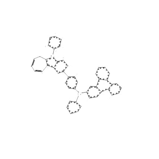 C1=CCc2c(c3cc(-c4ccc(N(c5ccccc5)c5ccc6c7ccccc7c7ccccc7c6c5)cc4)ccc3n2-c2ccccc2)C=C1